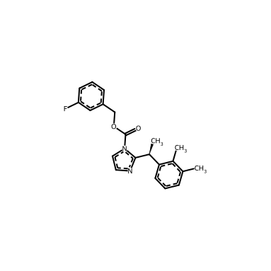 Cc1cccc([C@H](C)c2nccn2C(=O)OCc2cccc(F)c2)c1C